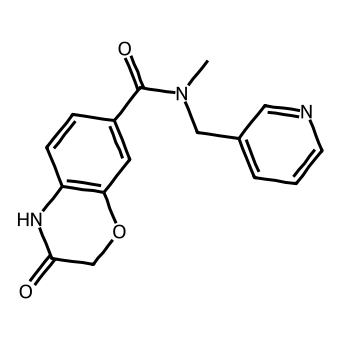 CN(Cc1cccnc1)C(=O)c1ccc2c(c1)OCC(=O)N2